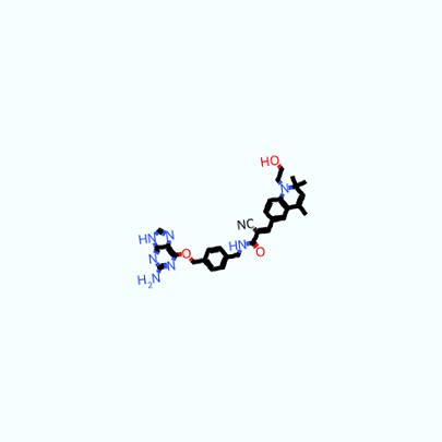 CC1=CC(C)(C)N(CCO)c2ccc(/C=C(\C#N)C(=O)NCc3ccc(COc4nc(N)nc5[nH]cnc45)cc3)cc21